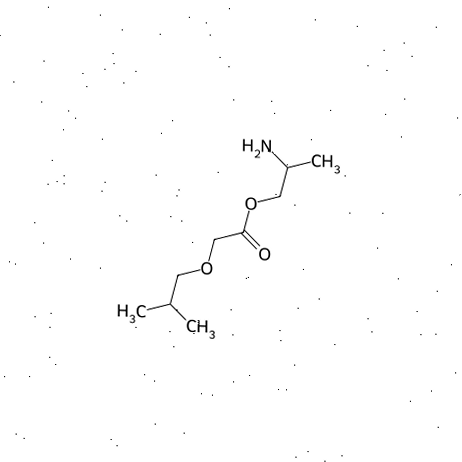 CC(C)COCC(=O)OCC(C)N